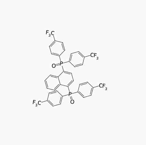 O=P(c1ccc(C(F)(F)F)cc1)(c1ccc(C(F)(F)F)cc1)c1ccc(P(=O)(c2ccc(C(F)(F)F)cc2)c2ccc(C(F)(F)F)cc2)c2ccccc12